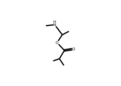 CNC(C)OC(=O)C(C)C